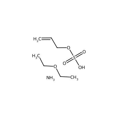 C=CCOS(=O)(=O)O.CCOCC.N